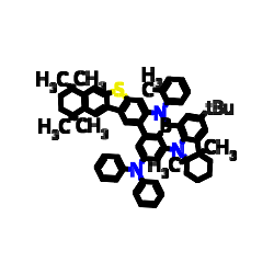 Cc1ccccc1N1B2c3cc(C(C)(C)C)cc4c3N(c3cc(N(c5ccccc5)c5ccccc5)cc(c32)-c2cc3c(cc21)sc1cc2c(cc13)C(C)(C)CCC2(C)C)C1(C)CCCCC41C